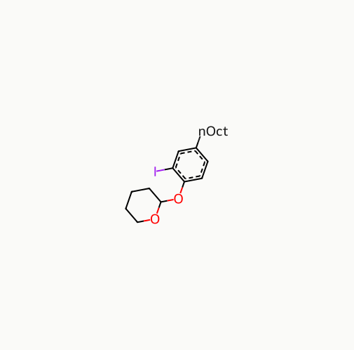 CCCCCCCCc1ccc(OC2CCCCO2)c(I)c1